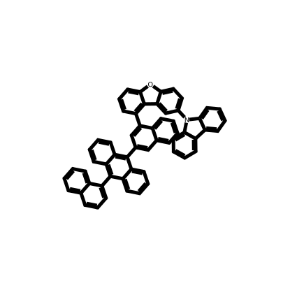 c1ccc2c(-c3c4ccccc4c(-c4cc(-c5cccc6oc7ccc(-n8c9ccccc9c9ccccc98)cc7c56)c5ccccc5c4)c4ccccc34)cccc2c1